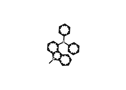 Cn1c2ccccc2c2c(N(c3ccccc3)c3ccccc3)cccc21